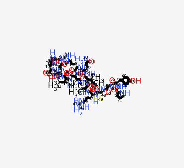 CC[C@H](C)[C@H](NC(=O)[C@H](CCCNC(=N)N)NC(=O)[C@H](CCC(N)=O)NC(=O)[C@@H](NC(=O)[C@@H](NC(=O)[C@H](CCCNC(=N)N)NC(=O)[C@H](CS)NC(=O)CNC(=O)[C@H](Cc1ccc(O)cc1)NC(=O)[C@@H]1CCCN1)C(C)C)[C@@H](C)CC)C(=O)N[C@@H](CC(C)C)C(=O)N[C@@H](CCC(=O)O)C(=O)N[C@@H](Cc1c[nH]cn1)C(=O)O